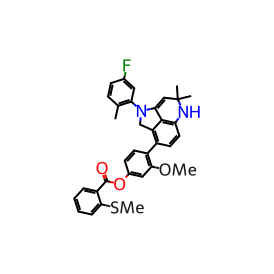 COc1cc(OC(=O)c2ccccc2SC)ccc1-c1ccc2c3c1CN(c1cc(F)ccc1C)C3=CC(C)(C)N2